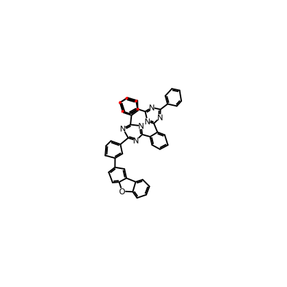 c1ccc(-c2nc(-c3ccccc3)nc(-c3ccccc3-c3nc(-c4ccccc4)nc(-c4cccc(-c5ccc6oc7ccccc7c6c5)c4)n3)n2)cc1